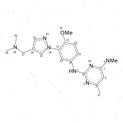 CNc1cc(C)nc(Nc2ccc(OC)c(-n3cc(CN(C)C)cn3)c2)n1